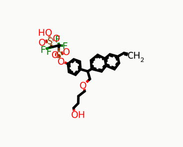 C=Cc1ccc2cc(C(COCCCCO)c3ccc(OS(=O)(=O)C(F)(F)C(F)(F)S(=O)(=O)O)cc3)ccc2c1